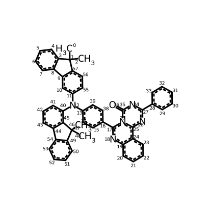 CC1(C)c2ccccc2-c2cc(N(c3ccc(-c4nc5ccccc5c5nc(-c6ccccc6)nc(=O)n45)cc3)c3cccc4c3C(C)(C)c3ccccc3-4)ccc21